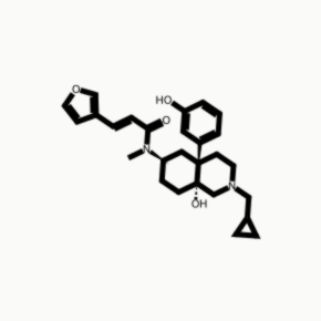 CN(C(=O)/C=C/c1ccoc1)[C@@H]1CC[C@]2(O)CN(CC3CC3)CC[C@@]2(c2cccc(O)c2)C1